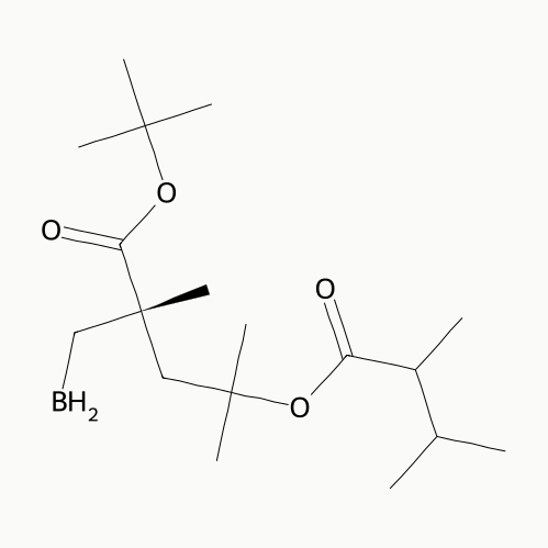 BC[C@@](C)(CC(C)(C)OC(=O)C(C)C(C)C)C(=O)OC(C)(C)C